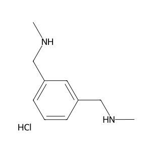 CNCc1cccc(CNC)c1.Cl